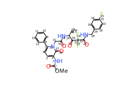 COC(=O)Nc1ccc(-c2ccccc2)n(CC(=O)NC(C(=O)C(F)(F)C(=O)NCc2ccc(F)cc2)C(C)C)c1=O